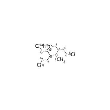 [CH2]CC(CCCl)C(C)[C](CCCl)CCCl